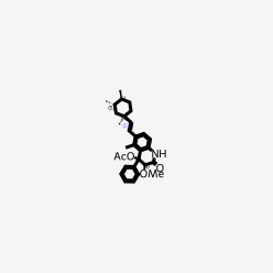 CO[C@@H]1C(=O)Nc2ccc(/C=C/[C@]3(C)CC[C@H](C)[C@@H](C)C3)c(C)c2[C@@]1(OC(C)=O)c1ccccc1